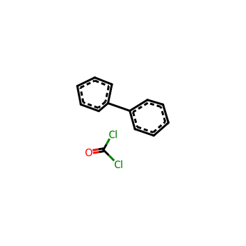 O=C(Cl)Cl.c1ccc(-c2ccccc2)cc1